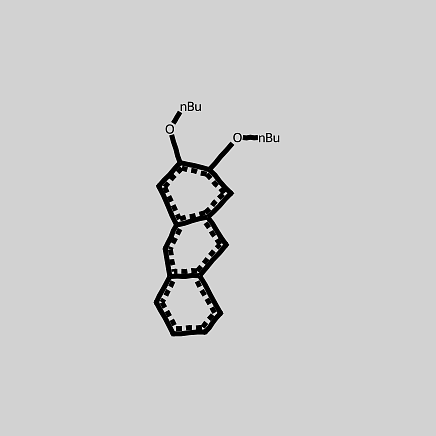 CCCCOc1cc2cc3ccccc3cc2cc1OCCCC